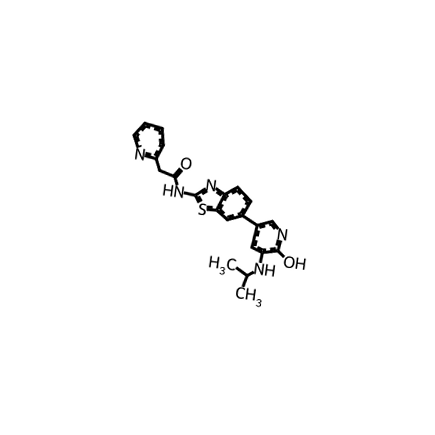 CC(C)Nc1cc(-c2ccc3nc(NC(=O)Cc4ccccn4)sc3c2)cnc1O